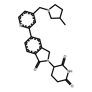 CC1CCN(Cc2ccnc(-c3ccc4c(c3)CN(C3CCC(=O)NC3=O)C4=O)c2)C1